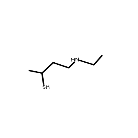 CCNCCC(C)S